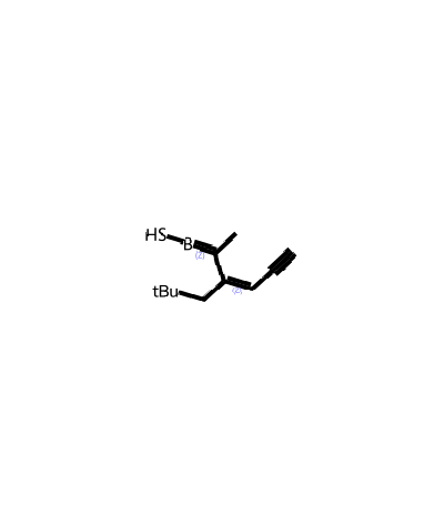 C#C/C=C(CC(C)(C)C)\C(C)=B/S